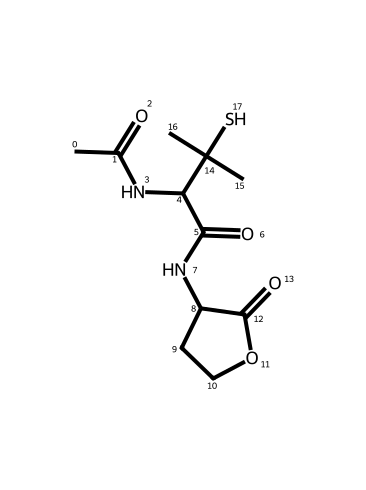 CC(=O)NC(C(=O)NC1CCOC1=O)C(C)(C)S